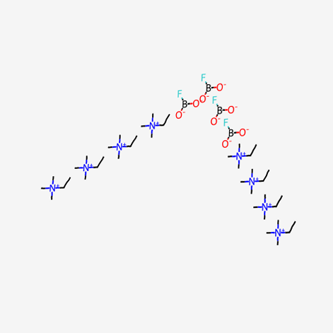 CC[N+](C)(C)C.CC[N+](C)(C)C.CC[N+](C)(C)C.CC[N+](C)(C)C.CC[N+](C)(C)C.CC[N+](C)(C)C.CC[N+](C)(C)C.CC[N+](C)(C)C.[O-]B([O-])F.[O-]B([O-])F.[O-]B([O-])F.[O-]B([O-])F